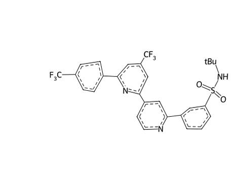 CC(C)(C)NS(=O)(=O)c1cccc(-c2cc(-c3cc(C(F)(F)F)cc(-c4ccc(C(F)(F)F)cc4)n3)ccn2)c1